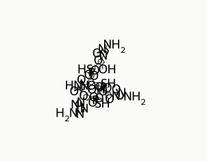 Cc1cn([C@H]2CC(OP(=O)(S)OC[C@H]3O[C@@H](n4ccc(N)nc4=O)CC3O)[C@@H](COP(=O)(S)OC3C[C@H](n4ccc(N)nc4=O)O[C@@H]3COP(=O)(S)OC3C[C@H](n4cnc5c(N)ncnc54)O[C@@H]3CO)O2)c(=O)[nH]c1=O